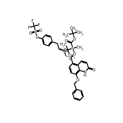 CC(C)(C)OC(=O)[Si](C)(O[C@@H](CNCCc1ccc(OS(=O)(=O)C(F)(F)F)cc1)c1ccc(OCc2ccccc2)c2[nH]c(=O)ccc12)C(C)(C)C